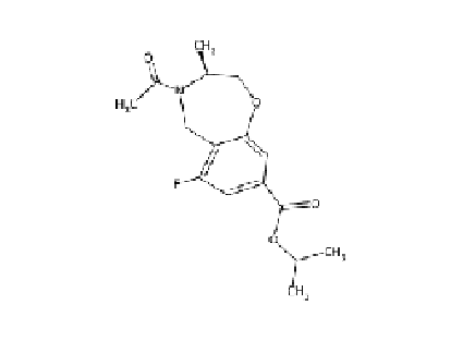 CC(=O)N1Cc2c(F)cc(C(=O)OC(C)C)cc2OC[C@@H]1C